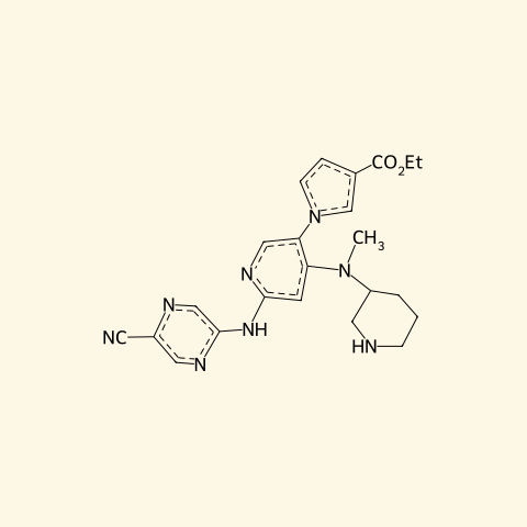 CCOC(=O)c1ccn(-c2cnc(Nc3cnc(C#N)cn3)cc2N(C)C2CCCNC2)c1